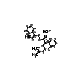 CN(C)CC1Cc2ccccc2N(C(=O)CCc2c[nH]c3ccccc23)C1.Cl